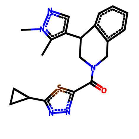 Cc1c(C2CN(C(=O)c3nnc(C4CC4)s3)Cc3ccccc32)cnn1C